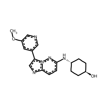 COc1cncc(-c2cnc3ccc(N[C@H]4CC[C@H](O)CC4)nn23)c1